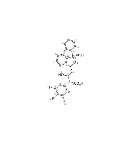 CC(C)(C)[Si](OCCC(O)C(C(=O)O)c1cc(F)c(F)c(F)c1)(c1ccccc1)c1ccccc1